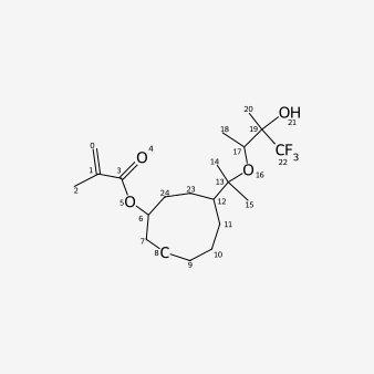 C=C(C)C(=O)OC1CCCCCC(C(C)(C)OC(C)C(C)(O)C(F)(F)F)CC1